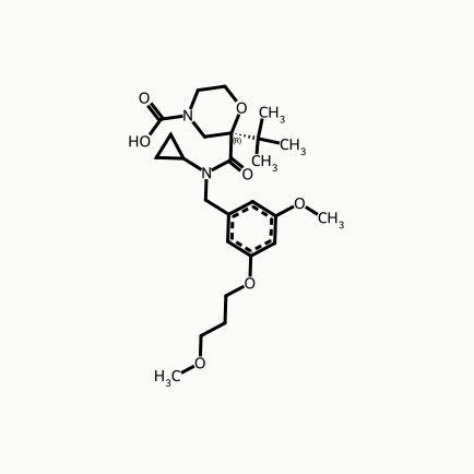 COCCCOc1cc(CN(C(=O)[C@@]2(C(C)(C)C)CN(C(=O)O)CCO2)C2CC2)cc(OC)c1